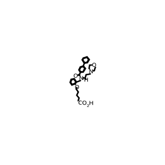 [2H]C(CCN1CCOCC1)N(Cc1ccccc1OCCCCCC(=O)O)C(=O)c1ccc(-c2ccccc2)cc1